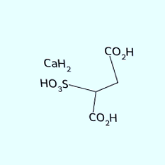 O=C(O)CC(C(=O)O)S(=O)(=O)O.[CaH2]